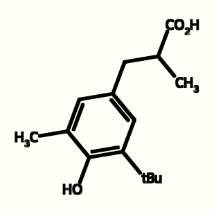 Cc1cc(CC(C)C(=O)O)cc(C(C)(C)C)c1O